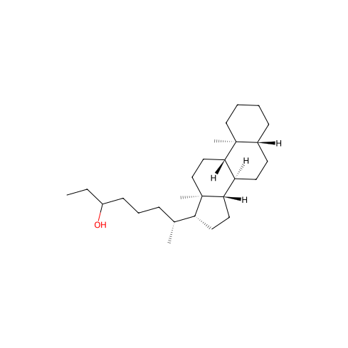 CCC(O)CCC[C@@H](C)[C@H]1CC[C@H]2[C@@H]3CC[C@H]4CCCC[C@]4(C)[C@H]3CC[C@]12C